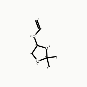 C=COC1COC(C)(C)O1